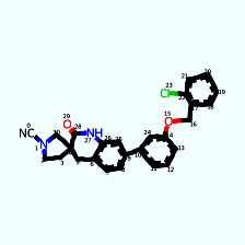 N#CN1CCC2(Cc3ccc(-c4cccc(OCc5ccccc5Cl)c4)cc3NC2=O)C1